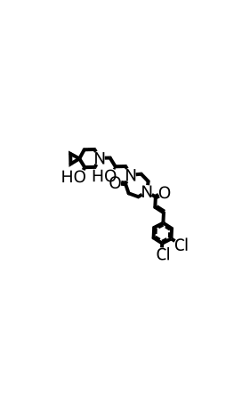 O=C(C=Cc1ccc(Cl)c(Cl)c1)N1CCC(=O)N(C[C@@H](O)CN2CCC3(CC3)C(O)C2)CC1